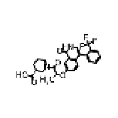 C[C@@H](Oc1ccc2c(-c3ccccc3C(F)(F)F)c[nH]c(=O)c2c1)C(=O)N1CCC[C@H](C(=O)O)C1